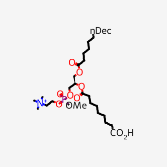 CCCCCCCCCCCCCCCC(=O)OC[C@H](COP(=O)(OC)OCC[N+](C)(C)C)OC(=O)CCCCCCCC(=O)O